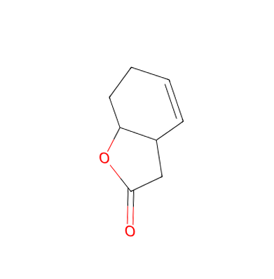 O=C1CC2C=CCCC2O1